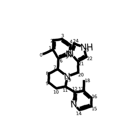 Cc1cccnc1C1CCCC(c2ncccc2C)N1Cc1c[nH]cn1